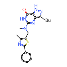 CCC(C)c1n[nH]c2c(=O)[nH]c(N(C)Cc3sc(-c4ccccc4)nc3C)nc12